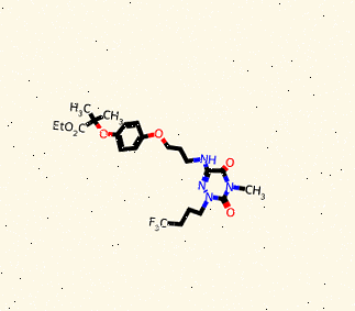 CCOC(=O)C(C)(C)Oc1ccc(OCCCNc2nn(CCCC(F)(F)F)c(=O)n(C)c2=O)cc1